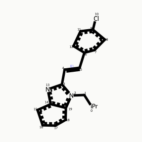 CC(C)Cn1c(/C=C/c2ccc(Cl)cc2)nc2ccccc21